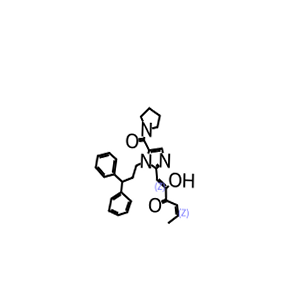 C/C=C\C(=O)/C(O)=C/c1ncc(C(=O)N2CCCC2)n1CCC(c1ccccc1)c1ccccc1